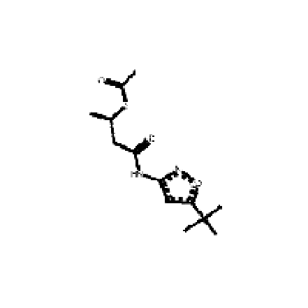 CC(=O)SC(C)CC(=O)Nc1cc(C(C)(C)C)on1